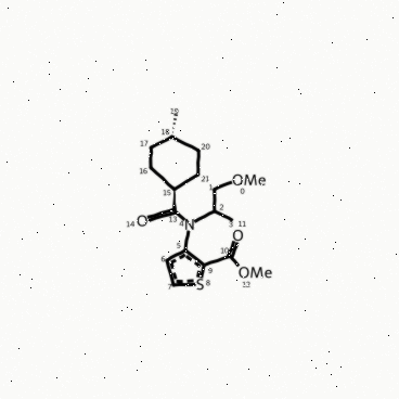 COCC(C)N(c1ccsc1C(=O)OC)C(=O)[C@H]1CC[C@H](C)CC1